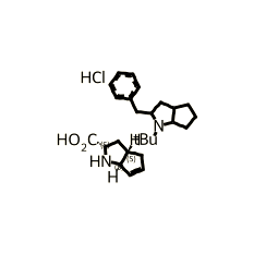 CC(C)(C)N1C(Cc2ccccc2)CC2CCCC21.Cl.O=C(O)[C@@H]1C[C@@H]2CC=C[C@H]2N1